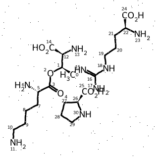 C[C@@H](OC(=O)[C@@H](N)CCCCN)[C@H](N)C(=O)O.N=C(N)NCCC[C@H](N)C(=O)O.O=C(O)[C@@H]1CCCN1